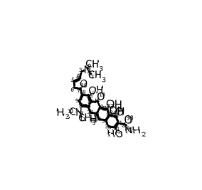 CN(C)CC1=CCC(c2cc(N(C)C)c3c(c2O)C(=O)C2=C(O)[C@]4(O)C(=O)C(C(N)=O)=C(O)CC4C[C@@H]2C3)O1